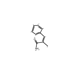 CC(=Cc1cccnc1)C(N)=O